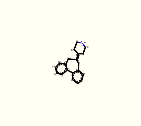 c1ccc2c(c1)CC(=C1CCNCC1)Cc1ccccc1-2